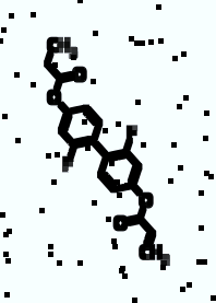 C=CC(=O)Oc1ccc(-c2ccc(OC(=O)CC)cc2F)c(F)c1